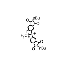 CCCCN1C(=O)c2ccc(C(F)(c3ccc4c(c3)C(=O)N(CCCC)C4=O)C(F)(F)C(F)(F)F)cc2C1=O